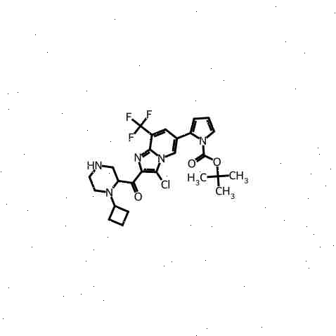 CC(C)(C)OC(=O)n1cccc1-c1cc(C(F)(F)F)c2nc(C(=O)C3CNCCN3C3CCC3)c(Cl)n2c1